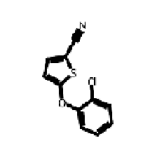 N#Cc1ccc(Oc2ccccc2Cl)s1